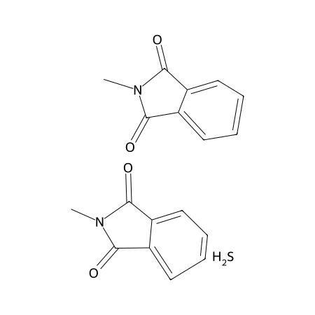 CN1C(=O)c2ccccc2C1=O.CN1C(=O)c2ccccc2C1=O.S